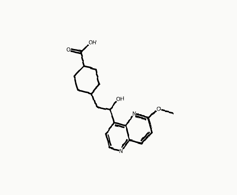 COc1ccc2nccc(C(O)CC3CCC(C(=O)O)CC3)c2n1